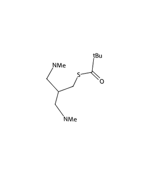 CNCC(CNC)CSC(=O)C(C)(C)C